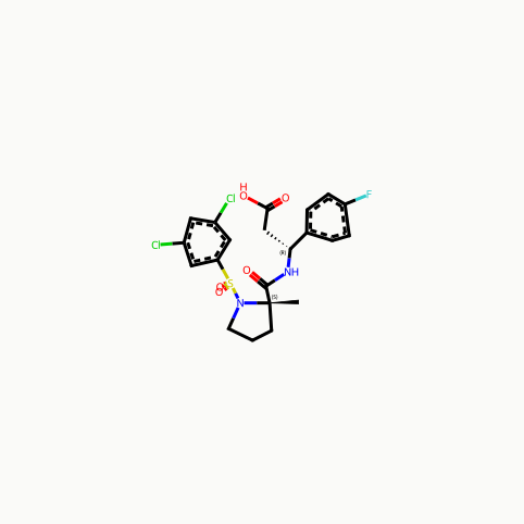 C[C@@]1(C(=O)N[C@H](CC(=O)O)c2ccc(F)cc2)CCCN1S(=O)(=O)c1cc(Cl)cc(Cl)c1